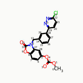 COC(=O)Oc1ccc2oc(=O)n(Cc3cccc(-c4ccc(Cl)nn4)c3)c2c1